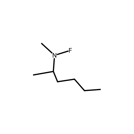 CCCCC(C)N(C)F